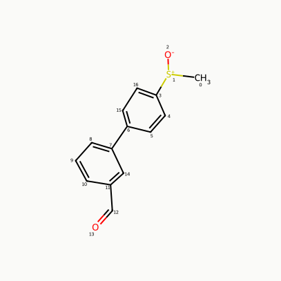 C[S+]([O-])c1ccc(-c2cccc(C=O)c2)cc1